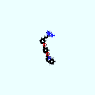 C(=Cc1nnn[nH]1)c1cccc(OCc2ccc(OCc3ccc4ccccc4n3)cc2)c1